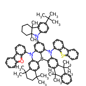 CC(C)(C)c1ccc2c(c1)C1(C)CCCCC1(C)N2c1cc2c3c(c1)N(c1cccc4c1sc1ccccc14)c1cc4c(cc1B3c1cc3c(cc1N2c1cccc2c1oc1ccccc12)C(C)(C)CCC3(C)C)C(C)(C)c1ccccc1C4(C)C